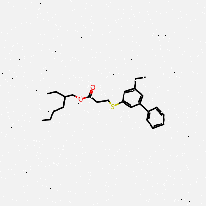 CCCCC(CC)COC(=O)CCSc1cc(CC)cc(-c2ccccc2)c1